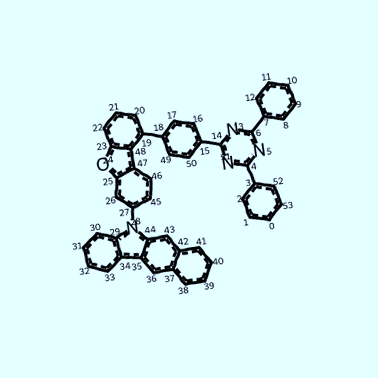 c1ccc(-c2nc(-c3ccccc3)nc(-c3ccc(-c4cccc5oc6cc(-n7c8ccccc8c8cc9ccccc9cc87)ccc6c45)cc3)n2)cc1